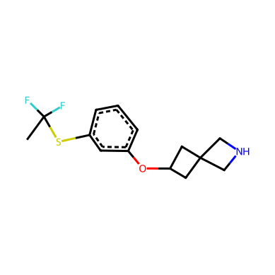 CC(F)(F)Sc1cccc(OC2CC3(CNC3)C2)c1